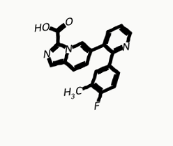 Cc1cc(-c2ncccc2-c2ccc3cnc(C(=O)O)n3c2)ccc1F